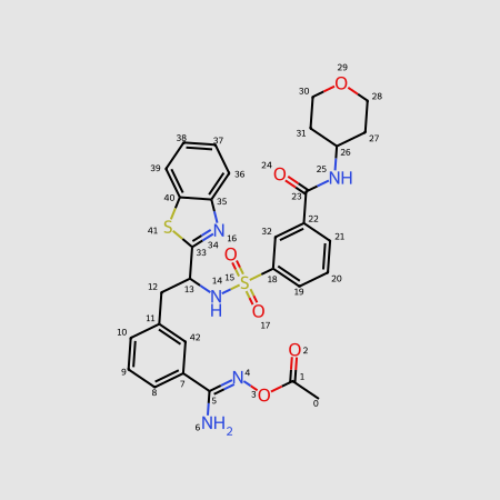 CC(=O)ON=C(N)c1cccc(CC(NS(=O)(=O)c2cccc(C(=O)NC3CCOCC3)c2)c2nc3ccccc3s2)c1